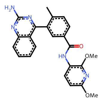 COc1ccc(NC(=O)c2ccc(C)c(-c3nc(N)nc4ccccc34)c2)c(OC)n1